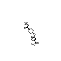 CC(C)(C)OC(=O)N1CCC(Oc2cc(C(=O)O)on2)CC1